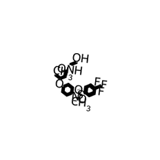 CCC(CC(=O)NCCO)OC1CCC(N(C)S(=O)(=O)c2ccc(C(F)(F)F)cc2)CC1